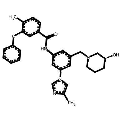 Cc1cn(-c2cc(CN3CCC[C@H](O)C3)cc(NC(=O)c3ccc(C)c(Oc4ccccc4)c3)c2)cn1